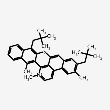 Cc1cc2c(cc1CC(C)(C)C)cc1c3c([n+](C)ccc32)-c2c(c(CC(C)(C)C)c3ccccc3c2C)S1